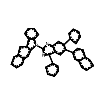 c1ccc(-c2cc3nc(-n4c5ccccc5c5cc6ccccc6cc54)nc(-c4ccccc4)c3cc2-c2ccc3ccccc3c2)cc1